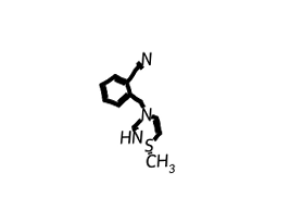 CS/C=C\N(C=N)Cc1ccccc1C#N